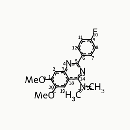 COc1cc2nc(-c3ccc(F)cc3)nc(N(C)C)c2cc1OC